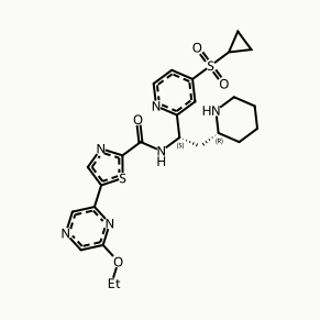 CCOc1cncc(-c2cnc(C(=O)N[C@@H](C[C@H]3CCCCN3)c3cc(S(=O)(=O)C4CC4)ccn3)s2)n1